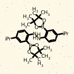 CC(C)c1ccc(NNc2ccc(C(C)C)cc2B2OC(C)(C)C(C)(C)O2)c(B2OC(C)(C)C(C)(C)O2)c1